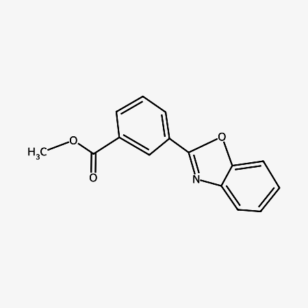 COC(=O)c1cccc(-c2nc3ccccc3o2)c1